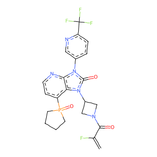 C=C(F)C(=O)N1CC(n2c(=O)n(-c3ccc(C(F)(F)F)nc3)c3nccc(P4(=O)CCCC4)c32)C1